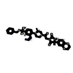 C/C=C\c1cc(C(OCc2ccccc2)(C(F)(F)F)C(F)(F)F)ccc1N1CCN(C(=O)CN2C(=O)NC(C)(c3cnc4c(c3)OCCO4)C2=O)C[C@@H]1C